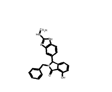 O=C(O)Nc1nc2cc(C3c4cccc(O)c4C(=O)N3Cc3ccccc3)ccc2[nH]1